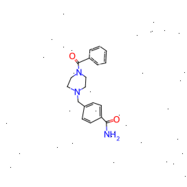 NC(=O)c1ccc(CN2CCN(C(=O)c3ccccc3)CC2)cc1